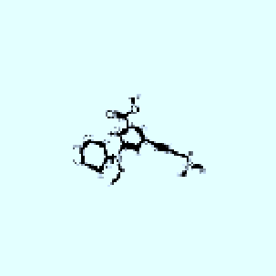 CCN(c1cc(C#CCN(C)C)cc(C(=O)OC)c1C)C1CCCCC1